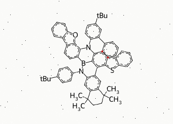 CC(C)(C)c1ccc(N2B3c4ccc5c(oc6ccccc65)c4N(c4ccc(C(C)(C)C)cc4-c4ccccc4)c4cc5c(sc6ccccc65)c(c43)-c3cc4c(cc32)C(C)(C)CCC4(C)C)cc1